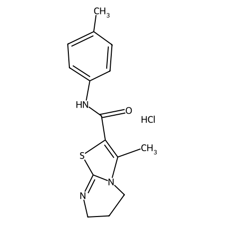 CC1=C(C(=O)Nc2ccc(C)cc2)SC2=NCCCN21.Cl